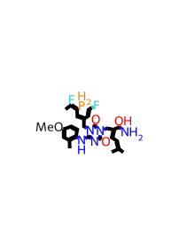 COc1ccc(Nc2nc(=O)n(C/C(=C/C=C(C)C)C(N)O)c(=O)n2CC(/C=C/F)=C/C(P)=C(\C)F)c(C)c1